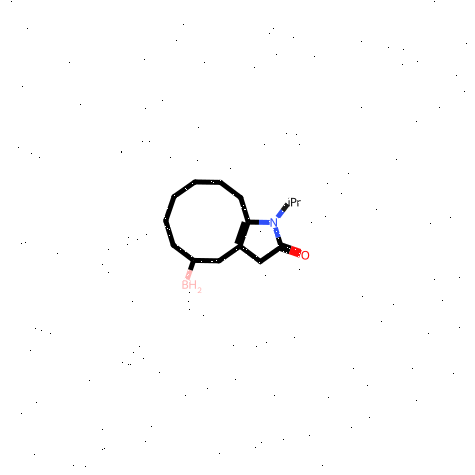 BC1CCCCCCC2=C(CC(=O)N2C(C)C)C1